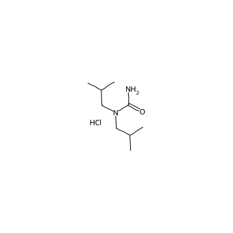 CC(C)CN(CC(C)C)C(N)=O.Cl